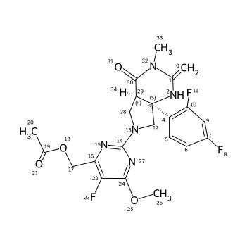 C=C1N[C@@]2(c3ccc(F)cc3F)CN(c3nc(COC(C)=O)c(F)c(OC)n3)C[C@H]2C(=O)N1C